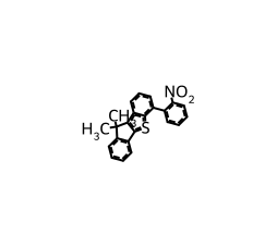 CC1(C)c2ccccc2-c2sc3c(-c4ccccc4[N+](=O)[O-])cccc3c21